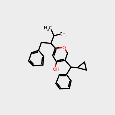 CC(C)C(Cc1ccccc1)C1=CC(O)=C(C(c2ccccc2)C2CC2)CO1